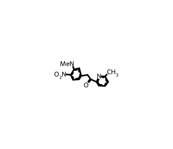 CNc1cc(CC(=O)c2cccc(C)n2)ccc1[N+](=O)[O-]